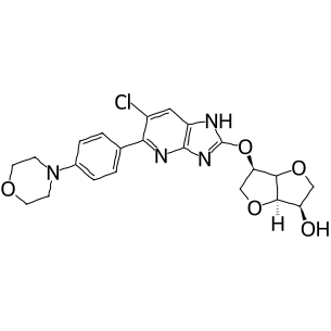 O[C@@H]1COC2[C@H](Oc3nc4nc(-c5ccc(N6CCOCC6)cc5)c(Cl)cc4[nH]3)CO[C@@H]21